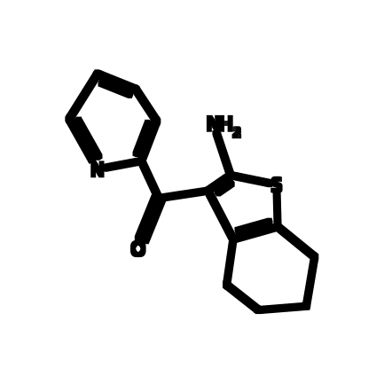 Nc1sc2c(c1C(=O)c1ccccn1)CCCC2